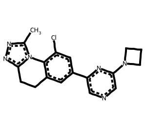 Cc1nnc2n1-c1c(Cl)cc(-c3cncc(N4CCC4)n3)cc1CC2